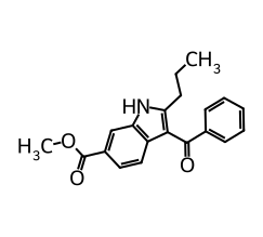 CCCc1[nH]c2cc(C(=O)OC)ccc2c1C(=O)c1ccccc1